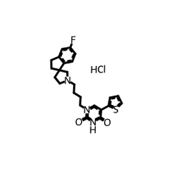 Cl.O=c1[nH]c(=O)n(CCCCN2CCC3(CCc4cc(F)ccc43)C2)cc1-c1cccs1